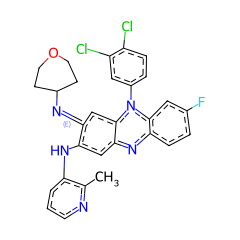 Cc1ncccc1Nc1cc2nc3ccc(F)cc3n(-c3ccc(Cl)c(Cl)c3)c-2c/c1=N\C1CCOCC1